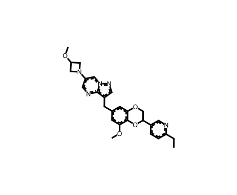 CCc1ccc(C2COc3cc(Cc4cnn5cc(N6CC(OC)C6)cnc45)cc(OC)c3O2)cn1